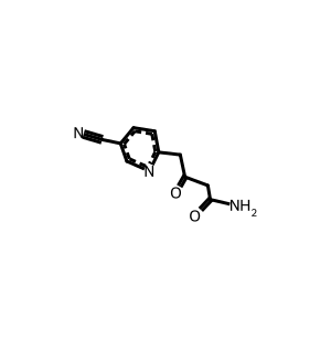 N#Cc1ccc(CC(=O)CC(N)=O)nc1